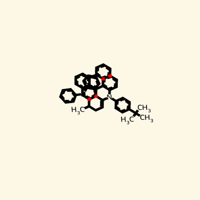 CC1CC=C(N(c2ccc(C(C)(C)C)cc2)c2ccccc2-c2cccc3cccc(-c4ccccc4)c23)C2c3ccccc3N(c3ccccc3)C12